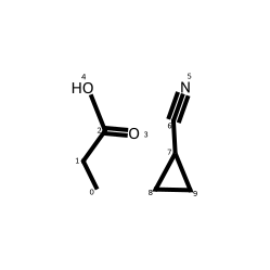 CCC(=O)O.N#CC1CC1